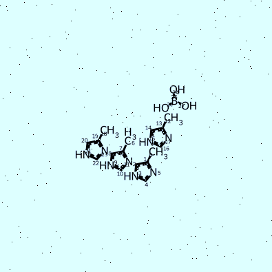 Cc1c[nH]cn1.Cc1c[nH]cn1.Cc1c[nH]cn1.Cc1c[nH]cn1.OB(O)O